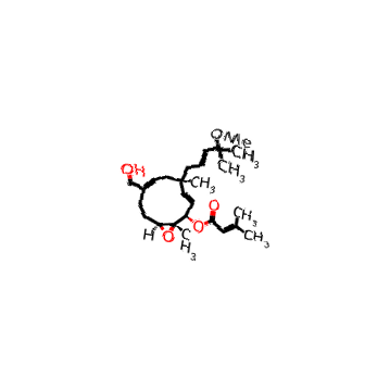 COC(C)(C)/C=C/C[C@]1(C)/C=C/[C@@H](OC(=O)C=C(C)C)[C@]2(C)O[C@H]2CC/C(CO)=C\C1